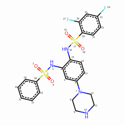 O=S(=O)(Nc1cc(N2CCNCC2)ccc1NS(=O)(=O)c1ccc(F)cc1F)c1ccccc1